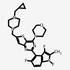 Cc1c(F)c2c(-c3nc(N4CCOCC4)c4sc(CN5CCN(CC6CC6)CC5)cc4n3)c(F)ccc2n1F